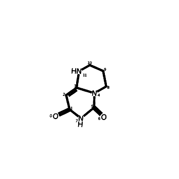 O=c1cc2n(c(=O)[nH]1)CCCN2